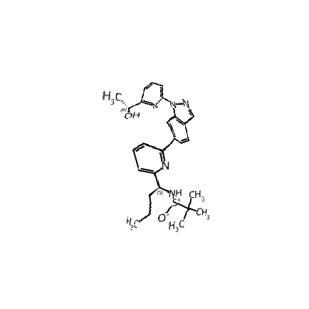 CCC[C@H](N[S+]([O-])C(C)(C)C)c1cccc(-c2ccc3cnn(-c4cccc([C@@H](C)O)n4)c3c2)n1